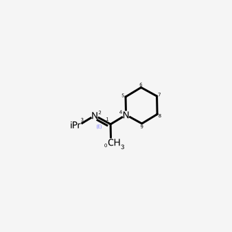 C/C(=N\C(C)C)N1CCCCC1